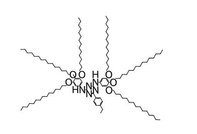 CCCCCCCCCCCCCCCOc1cc(Nc2nc(Nc3cc(OCCCCCCCCCCCCCCC)c(OCCCCCCCCCCCCCCC)c(OCCCCCCCCCCCCCCC)c3)nc(-c3ccc(CC)cc3)n2)cc(OCCCCCCCCCCCCCCC)c1OCCCCCCCCCCCCCCC